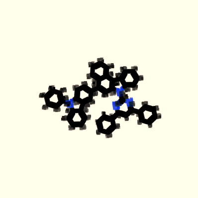 c1ccc(-c2cc(-c3ccccc3)nc(-n3c4ccccc4c4c5ccccc5c(-c5ccc6c(c5)c5ccccc5n6-c5ccccc5)cc43)n2)cc1